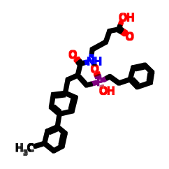 CC1C=C(c2ccc(CC(CP(=O)(O)CCc3ccccc3)C(=O)NCCCC(=O)O)cc2)C=CC1